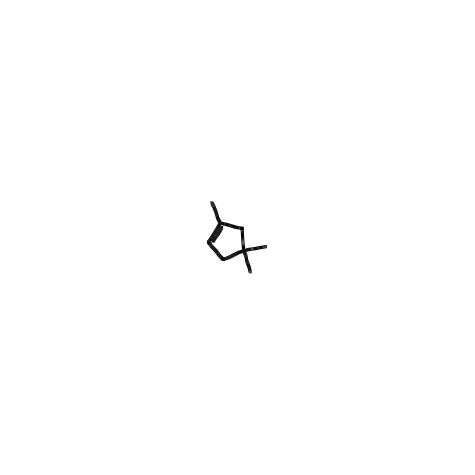 CC1=CCC(C)(C)C1